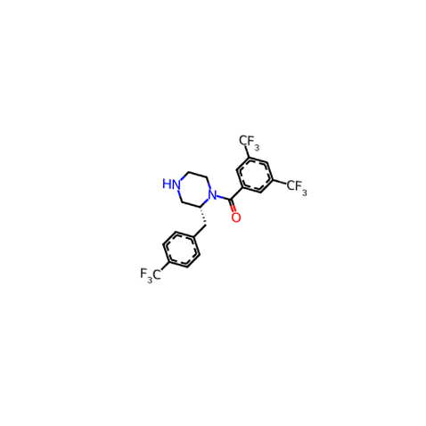 O=C(c1cc(C(F)(F)F)cc(C(F)(F)F)c1)N1CCNC[C@H]1Cc1ccc(C(F)(F)F)cc1